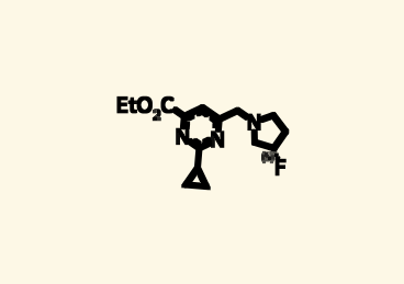 CCOC(=O)c1cc(CN2CC[C@H](F)C2)nc(C2CC2)n1